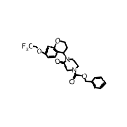 O=C(OCc1ccccc1)N1CCN(C2CCOc3cc(OCC(F)(F)F)ccc32)C(=O)C1